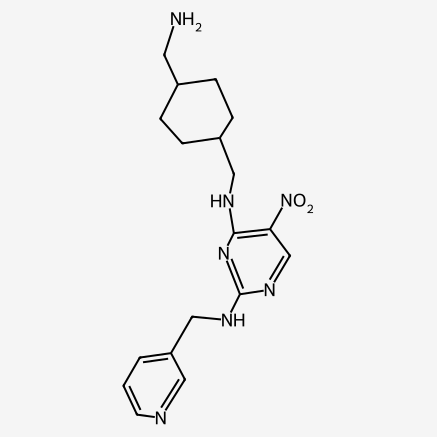 NCC1CCC(CNc2nc(NCc3cccnc3)ncc2[N+](=O)[O-])CC1